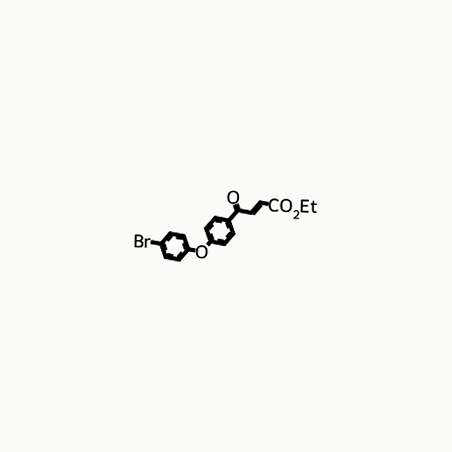 CCOC(=O)C=CC(=O)c1ccc(Oc2ccc(Br)cc2)cc1